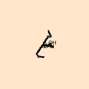 CCCCC/C=C\C/C=C\CCCCCCCCC(CCCCCCCC/C=C\C/C=C\CCCCC)OC(=O)OCCN(CCO)CCN(C)C